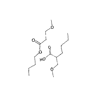 CCCCC(COC)C(=O)O.CCCCOC(=O)CCOC